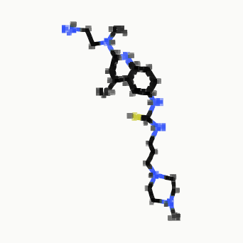 CCN1CCN(CCCNC(=S)Nc2ccc3nc(N(C)CCN)cc(C)c3c2)CC1